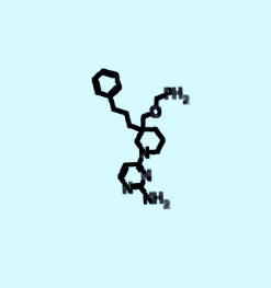 Nc1nccc(N2CCCC(CCCc3ccccc3)(COCP)C2)n1